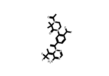 C=C(c1ccc(C(F)F)c(N2CCN(C(C)=O)C(C)(C)C2=O)c1)N1N=CN=C(N)/C1=C(/C)C(F)(F)F